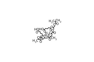 C=C(C)C(=O)OCC(COC(=O)C(=C)CC(C)(C)C(=O)OCC(COC(=O)C(=C)C)OC(=O)CCCC(=O)O)OC(=O)CCCC(=O)O